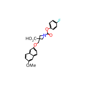 COc1ccc2cc(OCC3(C(=O)O)CN(C(=O)Oc4ccc(F)cc4)C3)ccc2c1